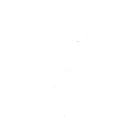 O=C(Cc1ccc(C=S)cc1)Cc1ccc(C=S)cc1